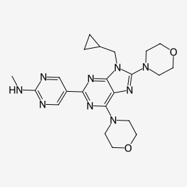 CNc1ncc(-c2nc(N3CCOCC3)c3nc(N4CCOCC4)n(CC4CC4)c3n2)cn1